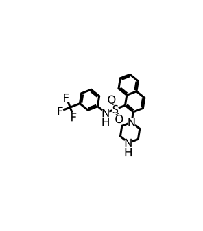 O=S(=O)(Nc1cccc(C(F)(F)F)c1)c1c(N2CCNCC2)ccc2ccccc12